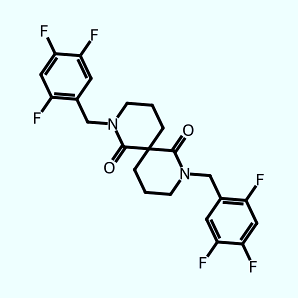 O=C1N(Cc2cc(F)c(F)cc2F)CCCC12CCCN(Cc1cc(F)c(F)cc1F)C2=O